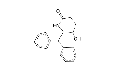 O=C1CCC(O)C(C(c2ccccc2)c2ccccc2)N1